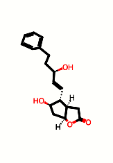 O=C1C[C@@H]2[C@@H](/C=C/[C@H](O)CCc3ccccc3)[C@H](O)C[C@@H]2O1